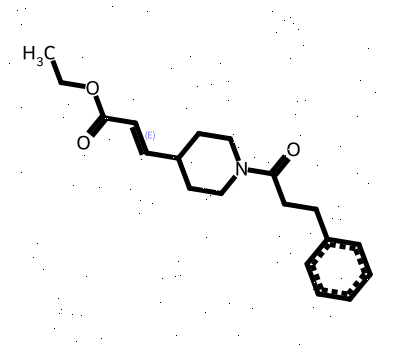 CCOC(=O)/C=C/C1CCN(C(=O)CCc2ccccc2)CC1